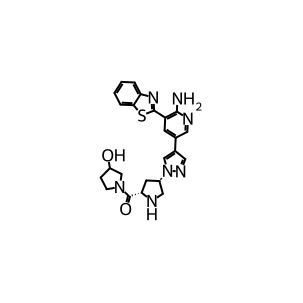 Nc1ncc(-c2cnn([C@@H]3CN[C@H](C(=O)N4CCC(O)C4)C3)c2)cc1-c1nc2ccccc2s1